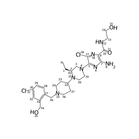 CC[C@H]1CN(c2nc(N)c(C(=O)NCCO)nc2Cl)CCN1C1CCN(Cc2ccc(Cl)cc2CO)CC1